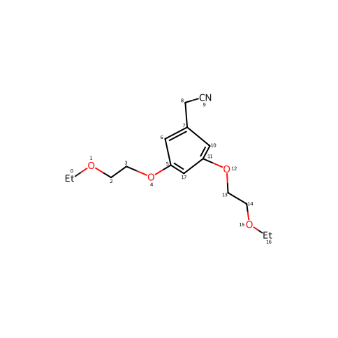 CCOCCOc1cc(CC#N)cc(OCCOCC)c1